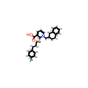 O=C(O)C1=CC=CN(CC2CCc3ccccc3C2)C1SCCCc1ccc(F)cc1